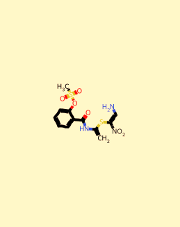 C=C(NC(=O)c1ccccc1OS(C)(=O)=O)S/C(=C\N)[N+](=O)[O-]